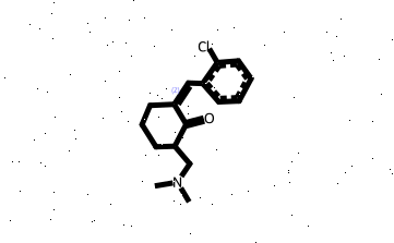 CN(C)CC1CCC/C(=C/c2ccccc2Cl)C1=O